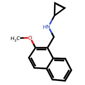 COc1ccc2ccccc2c1CNC1CC1